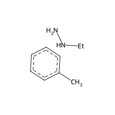 CCNN.Cc1ccccc1